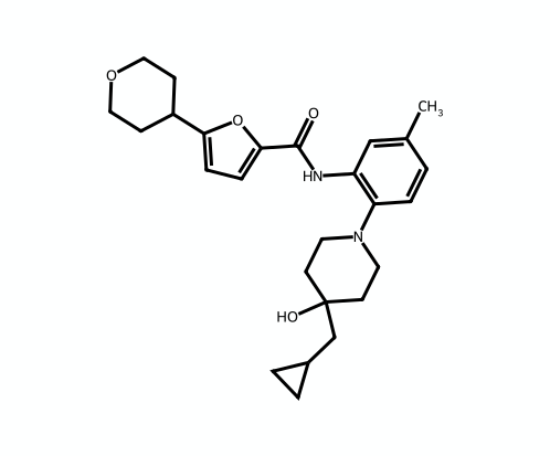 Cc1ccc(N2CCC(O)(CC3CC3)CC2)c(NC(=O)c2ccc(C3CCOCC3)o2)c1